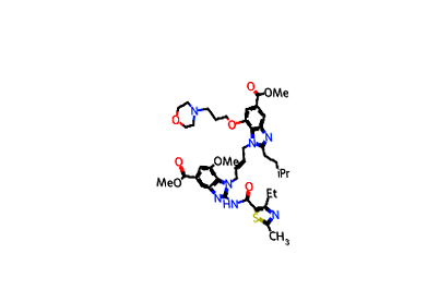 CCc1nc(C)sc1C(=O)Nc1nc2cc(C(=O)OC)cc(OC)c2n1C/C=C/Cn1c(CCC(C)C)nc2cc(C(=O)OC)cc(OCCCN3CCOCC3)c21